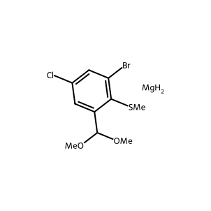 COC(OC)c1cc(Cl)cc(Br)c1SC.[MgH2]